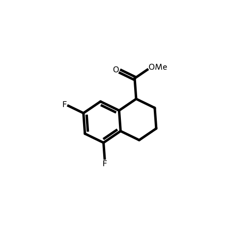 COC(=O)C1CCCc2c(F)cc(F)cc21